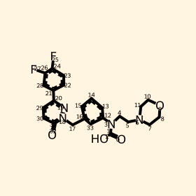 O=C(O)N(CCN1CCOCC1)c1cccc(Cn2nc(-c3ccc(F)c(F)c3)ccc2=O)c1